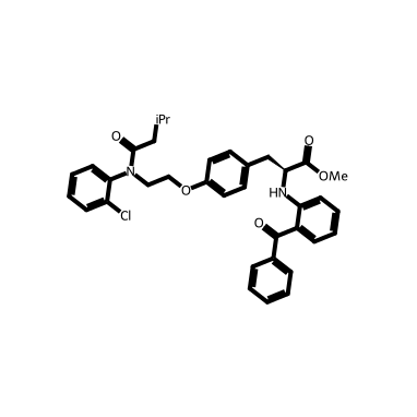 COC(=O)[C@H](Cc1ccc(OCCN(C(=O)CC(C)C)c2ccccc2Cl)cc1)Nc1ccccc1C(=O)c1ccccc1